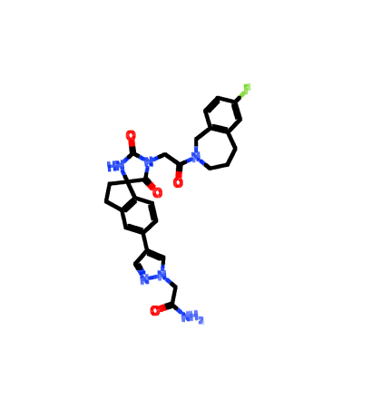 NC(=O)Cn1cc(-c2ccc3c(c2)CCC32NC(=O)N(CC(=O)N3CCCc4cc(F)ccc4C3)C2=O)cn1